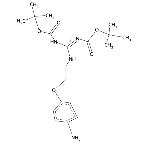 CC(C)(C)OC(=O)/N=C(\NCCOc1ccc(N)cc1)NC(=O)OC(C)(C)C